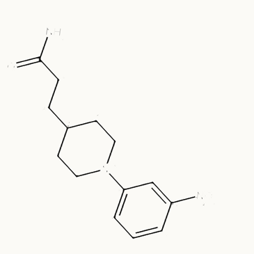 NC(=O)CCC1CCN(c2cccc([N+](=O)[O-])c2)CC1